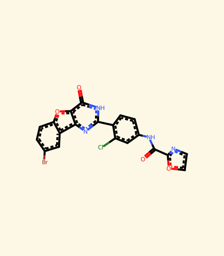 O=C(Nc1ccc(-c2nc3c(oc4ccc(Br)cc43)c(=O)[nH]2)c(Cl)c1)c1ncco1